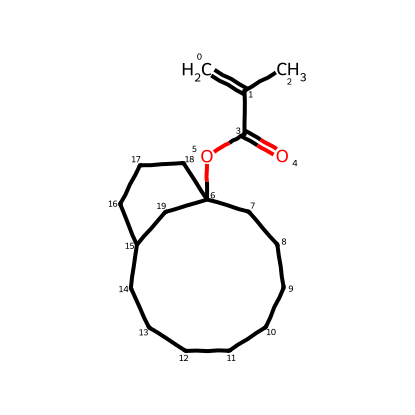 C=C(C)C(=O)OC12CCCCCCCCC(CCC1)C2